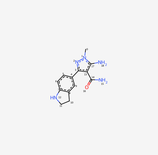 Cn1nc(-c2ccc3c(c2)CCN3)c(C(N)=O)c1N